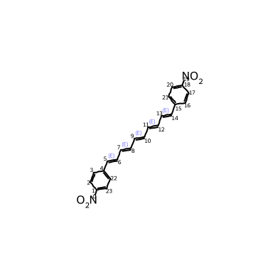 O=[N+]([O-])c1ccc(/C=C/C=C/C=C/C=C/C=C/c2ccc([N+](=O)[O-])cc2)cc1